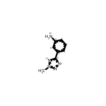 Cn1nnc(-c2cccc(N)c2)n1